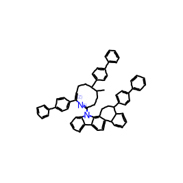 CC1CC/C(n2c3ccccc3c3ccc4c(c32)CCC(c2ccc(-c3ccccc3)cc2)C2C=CC=CC42)=N\C(c2ccc(-c3ccccc3)cc2)=C/CCC1c1ccc(-c2ccccc2)cc1